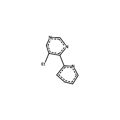 CCc1cncnc1-c1ccccn1